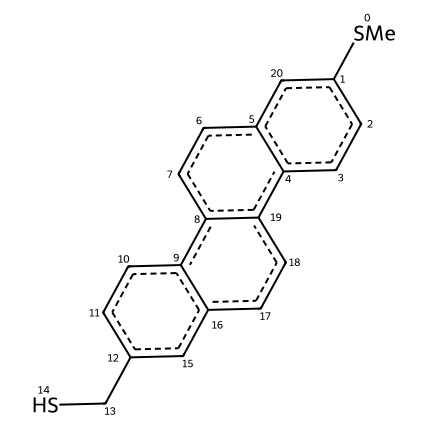 CSc1ccc2c(ccc3c4ccc(CS)cc4ccc23)c1